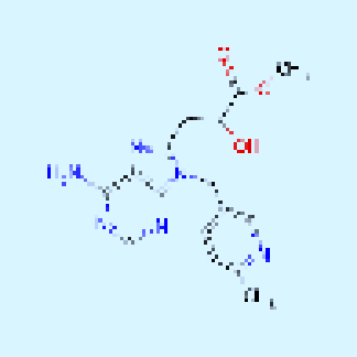 COC(=O)C(O)Cc1nc2c(N)ncnc2n1Cc1ccc(C)nc1